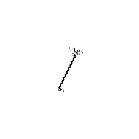 CCCCCCCCCCCCCCCCCCCCCC(=O)NN(C)CCC